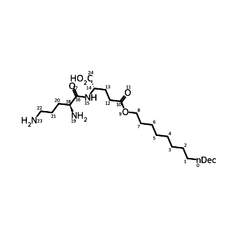 CCCCCCCCCCCCCCCCCCOC(=O)CC[C@H](NC(=O)[C@@H](N)CCCN)C(=O)O